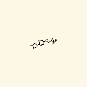 C[C@@H]1CCN(c2ccc(OCC3CC3(F)F)cn2)C1